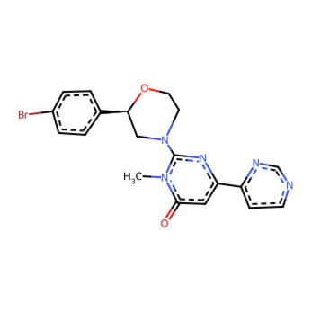 Cn1c(N2CCO[C@H](c3ccc(Br)cc3)C2)nc(-c2ccncn2)cc1=O